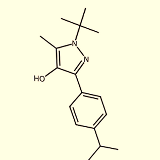 Cc1c(O)c(-c2ccc(C(C)C)cc2)nn1C(C)(C)C